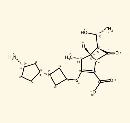 C[C@@H](O)[C@H]1C(=O)N2C(C(=O)O)=C(SC3CN([C@@H]4CC[C@H](N)C4)C3)[C@H](C)[C@H]12